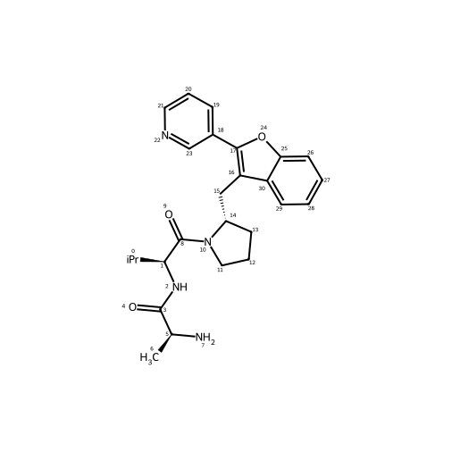 CC(C)[C@H](NC(=O)[C@H](C)N)C(=O)N1CCC[C@H]1Cc1c(-c2cccnc2)oc2ccccc12